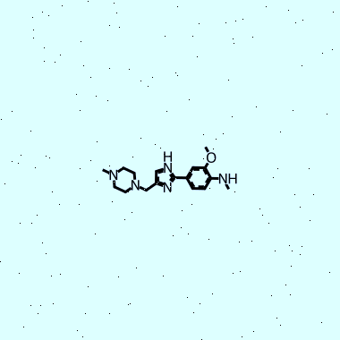 CNc1ccc(-c2nc(CN3CCN(C)CC3)c[nH]2)cc1OC